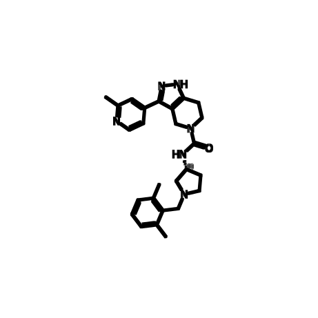 Cc1cc(-c2n[nH]c3c2CN(C(=O)N[C@@H]2CCN(Cc4c(C)cccc4C)C2)CC3)ccn1